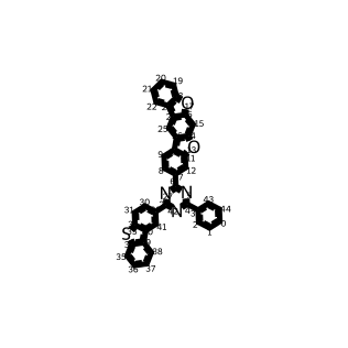 c1ccc(-c2nc(-c3ccc4c(c3)oc3cc5oc6ccccc6c5cc34)nc(-c3ccc4sc5ccccc5c4c3)n2)cc1